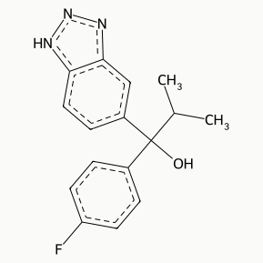 CC(C)C(O)(c1ccc(F)cc1)c1ccc2[nH]nnc2c1